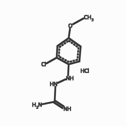 COc1ccc(NNC(=N)N)c(Cl)c1.Cl